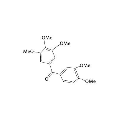 COc1ccc(C(=O)c2cc(OC)c(OC)c(OC)c2)cc1OC